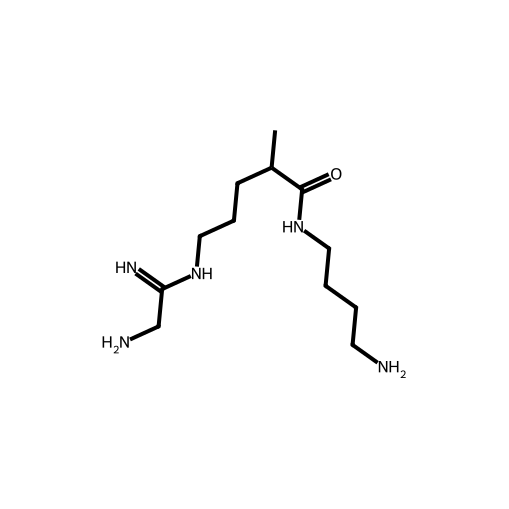 CC(CCCNC(=N)CN)C(=O)NCCCCN